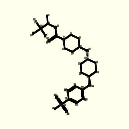 CC(OC(=O)N1CCC(O[C@H]2CC[C@H](Oc3cnc(S(C)(=O)=O)cn3)CC2)CC1)C(F)(F)F